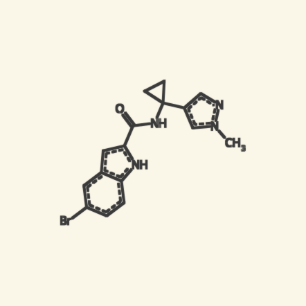 Cn1cc(C2(NC(=O)c3cc4cc(Br)ccc4[nH]3)CC2)cn1